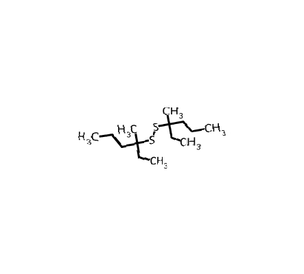 CCCC(C)(CC)SSC(C)(CC)CCC